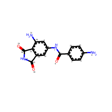 Nc1ccc(C(=O)Nc2cc(N)c3c(c2)C(=O)NC3=O)cc1